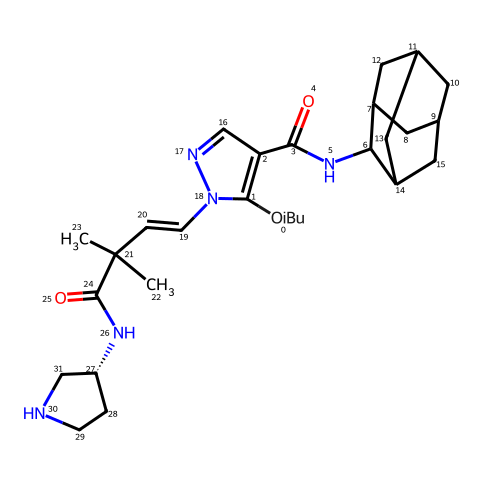 CC(C)COc1c(C(=O)NC2C3CC4CC(C3)CC2C4)cnn1/C=C/C(C)(C)C(=O)N[C@@H]1CCNC1